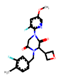 COc1cnc(N2CC(=O)N(Cc3ccc(C)c(F)c3)C(C3COC3)C2=O)c(F)c1